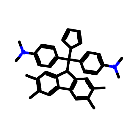 Cc1cc2c(cc1C)C(C(c1ccc(N(C)C)cc1)(c1ccc(N(C)C)cc1)C1C=CC=C1)c1cc(C)c(C)cc1-2